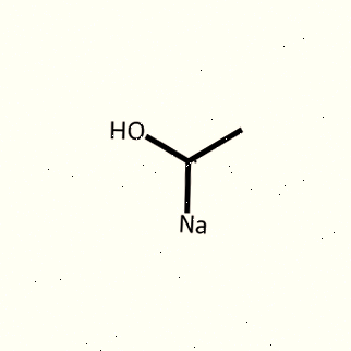 C[C](O)[Na]